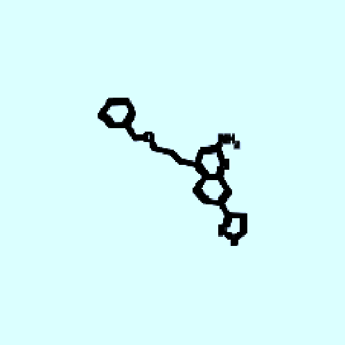 Nc1cc(CCCOCc2ccccc2)c2ccc(-c3ccsn3)cc2n1